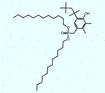 CCCCCCCCCCCCOP(=O)(Cc1cc(C(C)(C)CC(C)(C)C)c(O)c(C)c1C)OCCCCCCCCCCCC